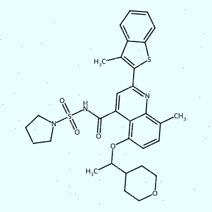 Cc1c(-c2cc(C(=O)NS(=O)(=O)N3CCCC3)c3c(OC(C)C4CCOCC4)ccc(C)c3n2)sc2ccccc12